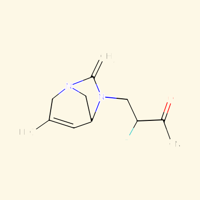 C=C1N2CC(C)=CC(C2)N1CC(F)C(=O)C#N